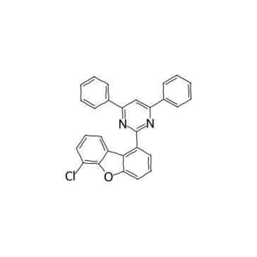 Clc1cccc2c1oc1cccc(-c3nc(-c4ccccc4)cc(-c4ccccc4)n3)c12